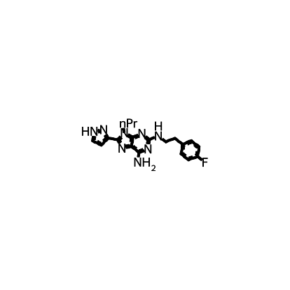 CCCn1c(-c2cc[nH]n2)nc2c(N)nc(NCCc3ccc(F)cc3)nc21